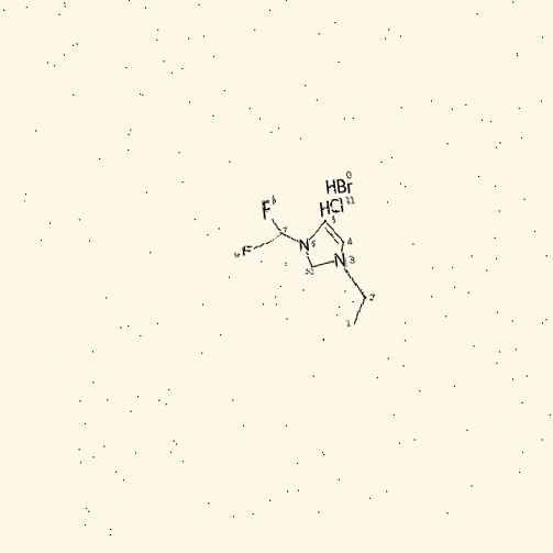 Br.CCN1C=CN(C(F)F)C1.Cl